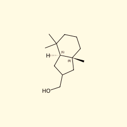 CC1(C)CCC[C@]2(C)CC(CO)C[C@@H]12